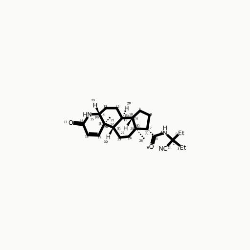 CCC(C#N)(CC)NC(=O)[C@H]1CC[C@H]2[C@@H]3CC[C@H]4NC(=O)C=C[C@]4(C)[C@H]3CC[C@]12C